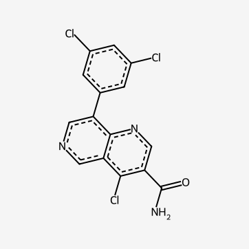 NC(=O)c1cnc2c(-c3cc(Cl)cc(Cl)c3)cncc2c1Cl